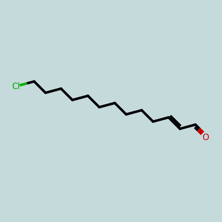 O=C/C=C/CCCCCCCCCCCl